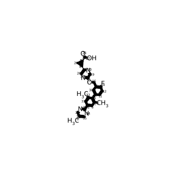 Cc1cnc(-c2cc(C)c(-c3ccc(F)c(COc4cnc([C@@H]5C[C@H]5C(=O)O)cn4)c3)c(C)c2)nc1